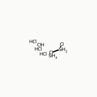 Cl.Cl.Cl.Cl.Cl[SiH2]Cl.[SiH4]